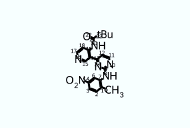 Cc1ccc([N+](=O)[O-])cc1Nc1nccc(-c2cnccc2NC(=O)C(C)(C)C)n1